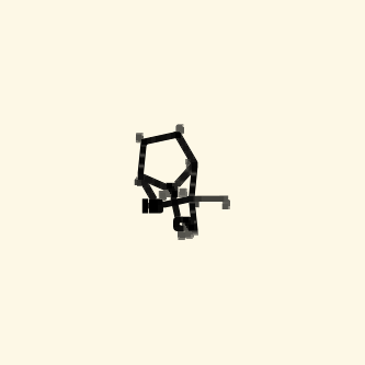 CC1(C)BC2CCC1N2C#N